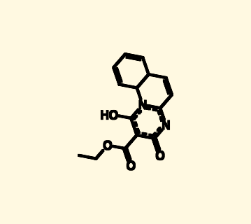 CCOC(=O)c1c(O)n2c(nc1=O)C=CC1C=CC=CC12